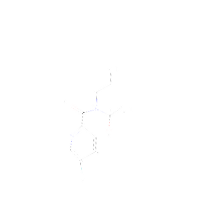 CCCN(C(=O)c1ccc(F)cn1)C(C)O